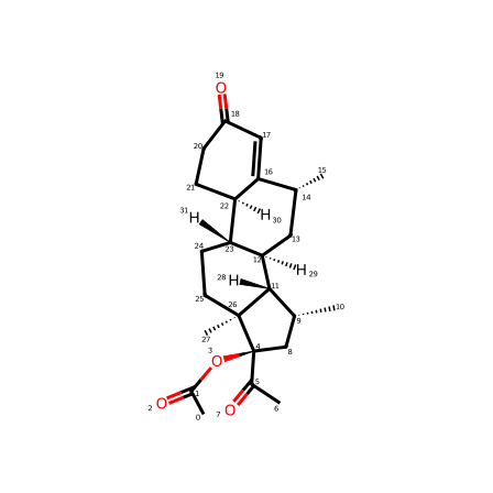 CC(=O)O[C@]1(C(C)=O)C[C@@H](C)[C@H]2[C@@H]3C[C@@H](C)C4=CC(=O)CC[C@@H]4[C@H]3CC[C@@]21C